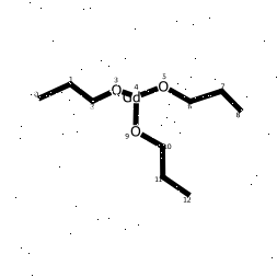 CCC[O][Gd]([O]CCC)[O]CCC